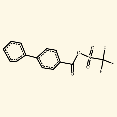 O=C(OS(=O)(=O)C(F)(F)F)c1ccc(-c2ccccc2)cc1